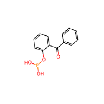 O=C(c1ccccc1)c1ccccc1OP(O)O